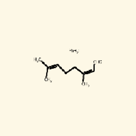 CC(C)=CCCC(C)=CC=O.[PbH2]